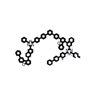 C=C/C=C\C(=C/C)c1nc(C2=CC=C(C3C=CC(C4=CC=CCC4)=CC3)[C@H](C)C2)nc(C2C=C3C=CCCC3=C(c3ccc(-c4ccc(-c5cccc(-c6ccc(-c7ccc(-c8nc(-c9ccccc9)nc(-c9ccc%10c(c9)CCC(c9cccc%11oc%12ccc(-c%13ccccc%13)cc%12c9%11)=C%10)n8)cc7)cc6)c5)cc4)c4oc5ccccc5c34)C2)n1